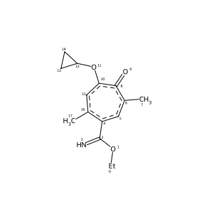 CCOC(=N)c1cc(C)c(=O)c(OC2CC2)cc1C